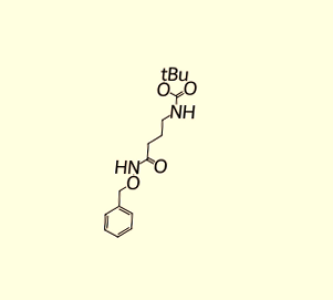 CC(C)(C)OC(=O)NCCCC(=O)NOCc1ccccc1